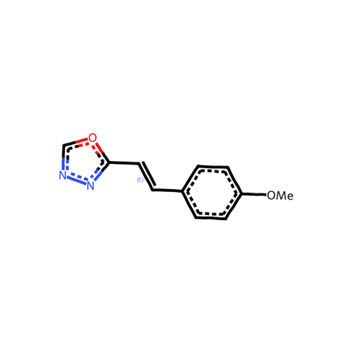 COc1ccc(/C=C/c2nnco2)cc1